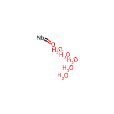 O.O.O.O.O.[O]=[Nb]